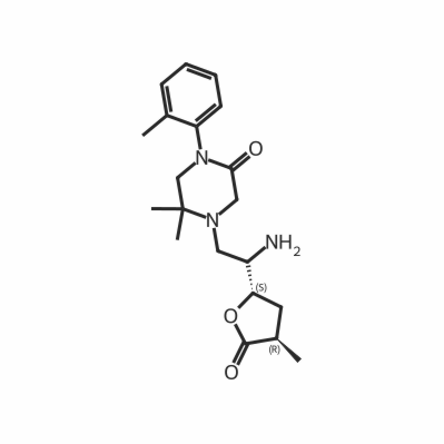 Cc1ccccc1N1CC(C)(C)N(CC(N)[C@@H]2C[C@@H](C)C(=O)O2)CC1=O